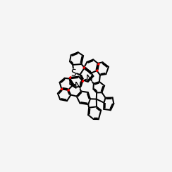 c1ccc(-c2cc3c(cc2N(c2ccccc2)c2ccccc2)C2(c4ccccc4-3)c3ccccc3-c3cc(-c4ccccc4)c(N(c4ccccc4)c4cccc5c4sc4ccccc45)cc32)cc1